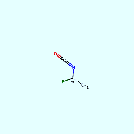 C[C@H](F)N=C=O